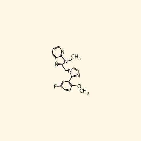 CCn1c(Cn2ccnc2-c2cc(F)ccc2OC)nc2cccnc21